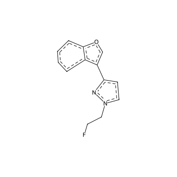 FCCn1ccc(-c2coc3ccccc23)n1